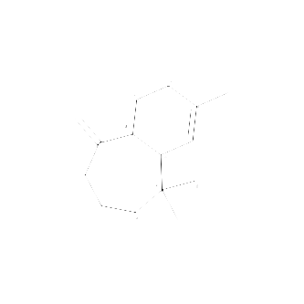 C=C1CCCC(C)(C)C2C=C(C)CCC12